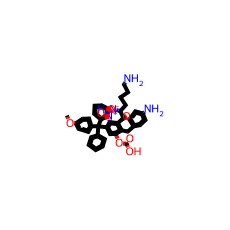 COc1ccc(C(c2ccccc2)(c2ccccc2)c2cc(OC(=O)O)c(Cc3ccc(N)cc3)c(C(=O)C(N)CCCCN)c2[N+](=O)[O-])cc1